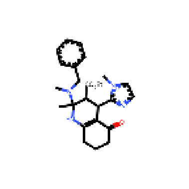 CCOC(=O)C1C(c2nccn2C)C2=C(CCCC2=O)NC1(C)N(C)Cc1ccccc1